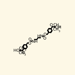 CC(C)(O)C(=O)c1ccc(COC(=O)NCCCCNC(=O)OCc2ccc(C(=O)C(C)(C)O)cc2)cc1